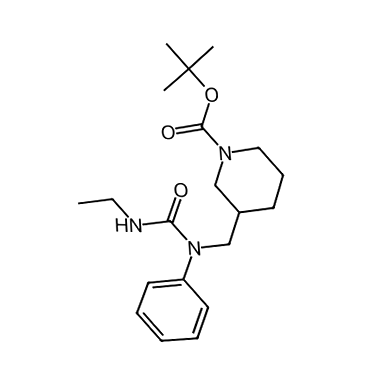 CCNC(=O)N(CC1CCCN(C(=O)OC(C)(C)C)C1)c1ccccc1